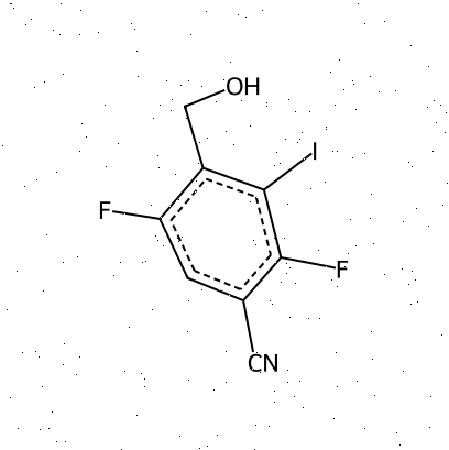 N#Cc1cc(F)c(CO)c(I)c1F